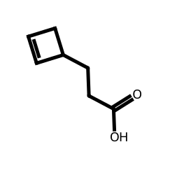 O=C(O)CCC1C=CC1